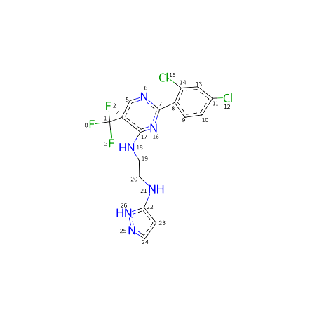 FC(F)(F)c1cnc(-c2ccc(Cl)cc2Cl)nc1NCCNc1ccn[nH]1